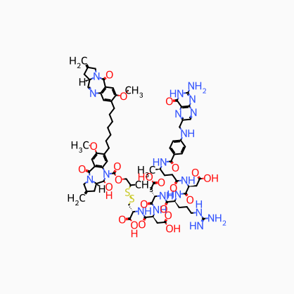 C=C1C[C@H]2C=Nc3cc(CCCCCCCc4cc5c(cc4OC)C(=O)N4CC(=C)C[C@H]4[C@H](O)N5C(=O)OCC(C)SSC[C@H](NC(=O)[C@H](CC(=O)O)NC(=O)[C@H](CC(=O)O)NC(=O)[C@H](CCCNC(=N)N)NC(=O)[C@H](CC(=O)O)NC(=O)CC[C@@H](C)NC(=O)c4ccc(NCc5cnc6nc(N)[nH]c(=O)c6n5)cc4)C(=O)O)c(OC)cc3C(=O)N2C1